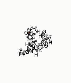 O=C(CCN1CCS(=O)(=O)CC1)NCC1(C(=O)NS(=O)(=O)c2ccc(Nc3nc(NC4(c5ccc(Cl)cc5)CC4)nc(OCC(F)(F)F)n3)cc2)CC1